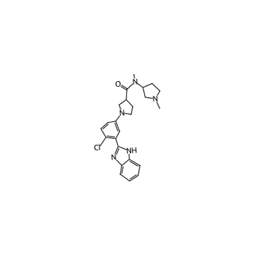 CN1CCC(N(C)C(=O)C2CCN(c3ccc(Cl)c(-c4nc5ccccc5[nH]4)c3)C2)C1